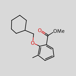 COC(=O)c1cccc(C)c1OCC1CCCCC1